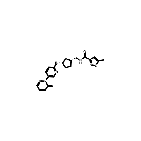 Cc1cc(C(=O)NC[C@@H]2CC[C@H](Nc3ccc(-n4ncccc4=O)cn3)C2)no1